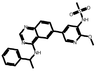 COc1ncc(-c2ccc3ncnc(NC(C)c4ccccc4)c3c2)cc1NS(C)(=O)=O